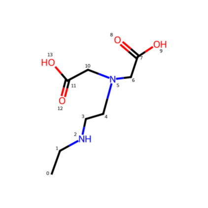 CCNCCN(CC(=O)O)CC(=O)O